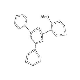 COc1ccccc1-c1cc(-c2ccccc2)cc(-c2ccccc2)c1